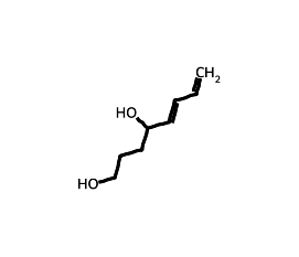 C=CC=CC(O)CCCO